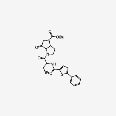 CC(C)COC(=O)N1CC(=O)C2C1CCN2C(=O)C(CC(C)C)NC(=O)c1ccc(-c2ccccc2)s1